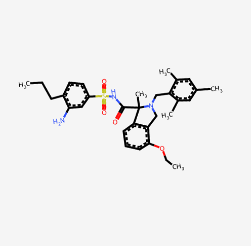 CCCc1ccc(S(=O)(=O)NC(=O)C2(C)c3cccc(OCC)c3CN2Cc2c(C)cc(C)cc2C)cc1N